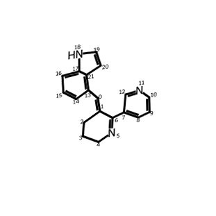 C(=C1CCCN=C1c1cccnc1)c1cccc2[nH]ccc12